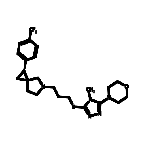 Cn1c(SCCCN2CCC3(C[C@H]3c3ccc(C(F)(F)F)cc3)C2)nnc1N1CCOCC1